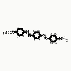 CCCCCCCCc1ccc(N=Nc2ccc(N=Nc3ccc(N)cc3)cc2)cc1